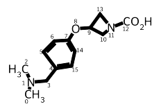 CN(C)Cc1ccc(OC2CN(C(=O)O)C2)cc1